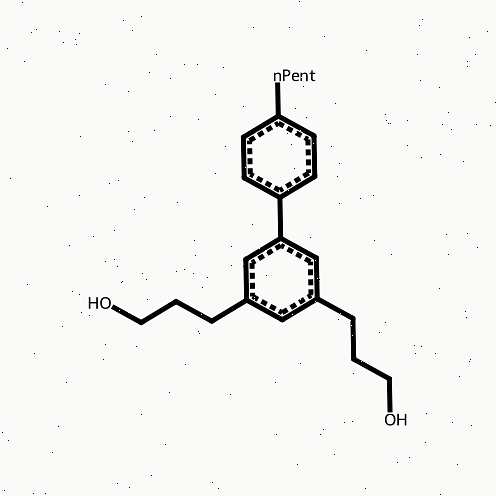 CCCCCc1ccc(-c2cc(CCCO)cc(CCCO)c2)cc1